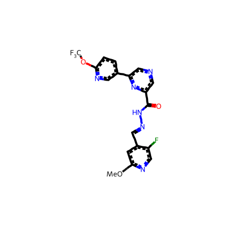 COc1cc(/C=N/NC(=O)c2cncc(-c3ccc(OC(F)(F)F)nc3)n2)c(F)cn1